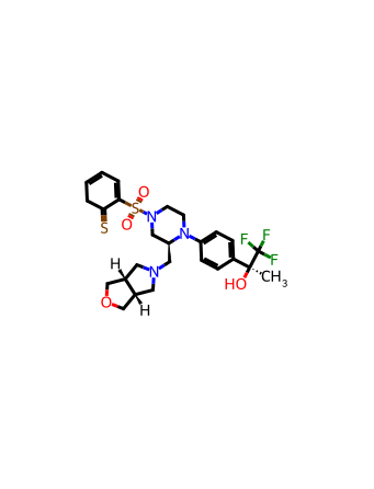 C[C@](O)(c1ccc(N2CCN(S(=O)(=O)C3=CC=CCC3=S)C[C@@H]2CN2C[C@H]3COC[C@H]3C2)cc1)C(F)(F)F